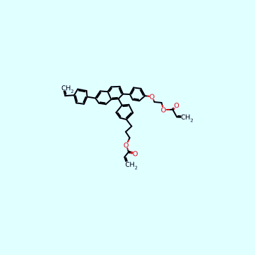 C=CC(=O)OCCCc1ccc(-c2c(-c3ccc(OCCOC(=O)C=C)cc3)ccc3cc(-c4ccc(C=C)cc4)ccc23)cc1